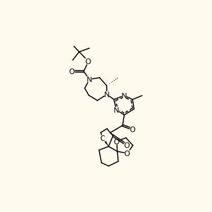 Cc1cc(C(=O)C2CCC[C@@]3(CCCCC34OCCO4)C2=O)nc(N2CCCN(C(=O)OC(C)(C)C)C[C@@H]2C)n1